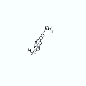 C=CCOc1cc2ccc(C3CCC4CC(CCCCC)CCC4C3)c(F)c2c(F)c1F